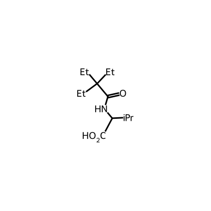 CCC(CC)(CC)C(=O)NC(C(=O)O)C(C)C